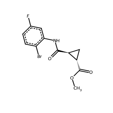 COC(=O)[C@H]1C[C@@H]1C(=O)Nc1cc(F)ccc1Br